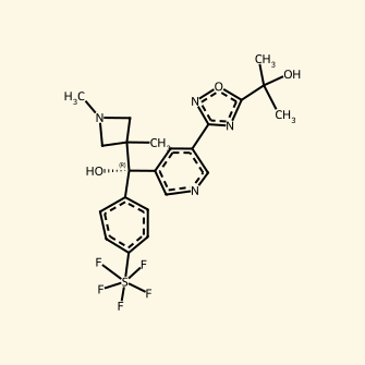 CN1CC(C)([C@](O)(c2ccc(S(F)(F)(F)(F)F)cc2)c2cncc(-c3noc(C(C)(C)O)n3)c2)C1